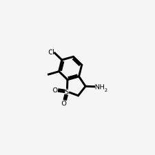 Cc1c(Cl)ccc2c1S(=O)(=O)CC2N